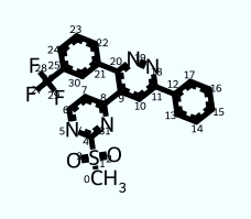 CS(=O)(=O)c1nccc(-c2cc(-c3ccccc3)nnc2-c2cccc(C(F)(F)F)c2)n1